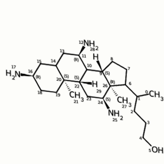 CC(CCCO)C1CC[C@H]2C3[C@H](N)CC4C[C@H](N)CC[C@]4(C)[C@H]3C[C@H](N)[C@]12C